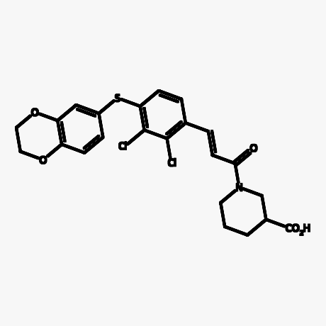 O=C(O)C1CCCN(C(=O)C=Cc2ccc(Sc3ccc4c(c3)OCCO4)c(Cl)c2Cl)C1